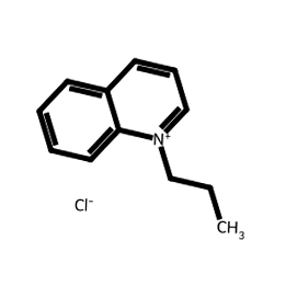 CCC[n+]1cccc2ccccc21.[Cl-]